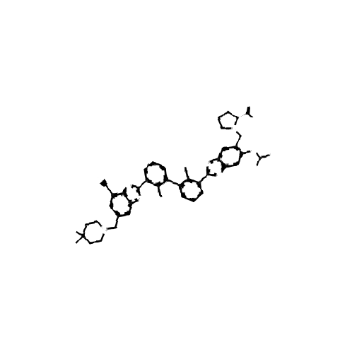 Cc1c(-c2nc3cc(CN4CCC[C@H]4C(=O)O)c(OC(F)F)cc3o2)cccc1-c1cccc(-c2nc3cc(CN4CCC(C)(F)CC4)cc(C#N)c3o2)c1C